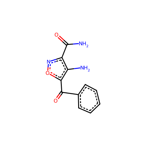 NC(=O)c1noc(C(=O)c2ccccc2)c1N